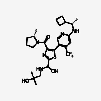 C[C@H](Nc1cc(C(F)(F)F)c(-c2sc(C(O)NCC(C)(C)O)nc2C(=O)N2CCC[C@@H]2C)cn1)C1CCC1